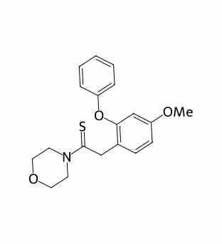 COc1ccc(CC(=S)N2CCOCC2)c(Oc2ccccc2)c1